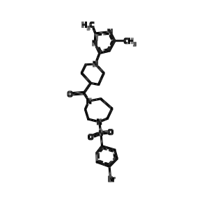 Cc1cc(N2CCC(C(=O)N3CCCN(S(=O)(=O)c4ccc(Br)cc4)CC3)CC2)nc(C)n1